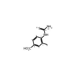 Cc1cc(C(=O)O)ccc1NC(N)=S